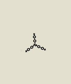 O=C(O)c1ccc(-c2ccc(-c3nc(-c4ccc(-c5ccc(C(=O)O)cc5)cc4)nc(-c4ccc(-c5ccc(C(=O)O)cc5)cc4)n3)cc2)cc1